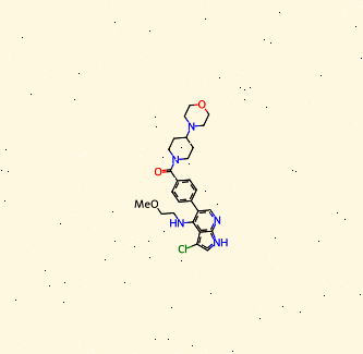 COCCNc1c(-c2ccc(C(=O)N3CCC(N4CCOCC4)CC3)cc2)cnc2[nH]cc(Cl)c12